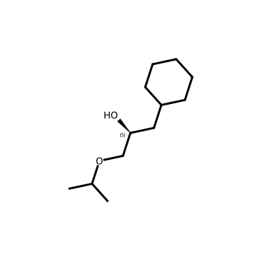 CC(C)OC[C@@H](O)CC1CCCCC1